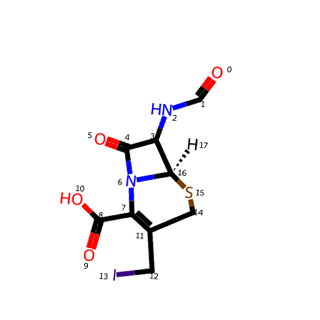 O=CNC1C(=O)N2C(C(=O)O)=C(CI)CS[C@H]12